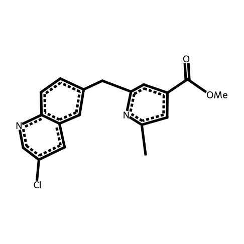 COC(=O)c1cc(C)nc(Cc2ccc3ncc(Cl)cc3c2)c1